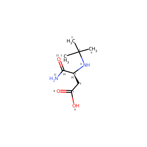 CC(C)(C)N[C@@H](CC(=O)O)C(N)=O